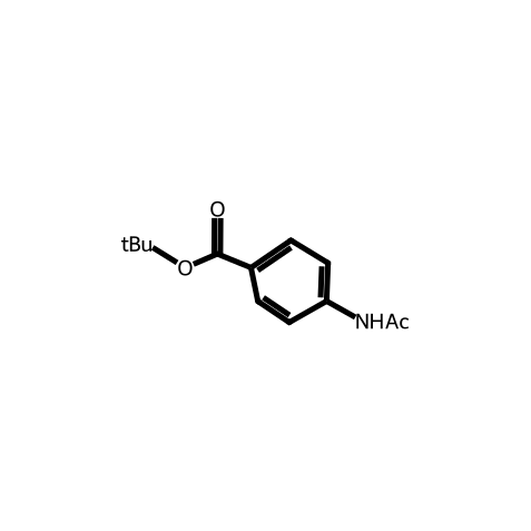 CC(=O)Nc1ccc(C(=O)OC(C)(C)C)cc1